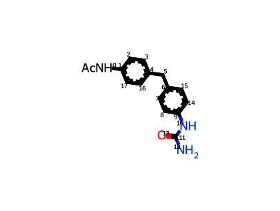 CC(=O)Nc1ccc(Cc2ccc(NC(N)=O)cc2)cc1